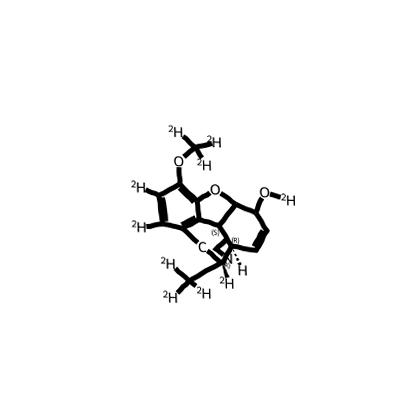 [2H]OC1C=C[C@@H]2[C@@]34CCN(C([2H])([2H])[2H])[C@]2([2H])Cc2c([2H])c([2H])c(OC([2H])([2H])[2H])c(c23)OC14